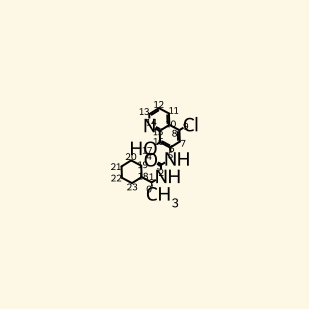 C[C@H](NC(=O)Nc1cc(Cl)c2cccnc2c1O)C1CCCCC1